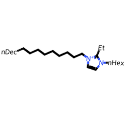 CCCCCCCCCCCCCCCCCCC[n+]1ccn(CCCCCC)c1CC